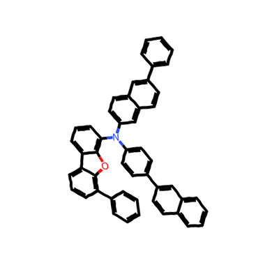 c1ccc(-c2ccc3cc(N(c4ccc(-c5ccc6ccccc6c5)cc4)c4cccc5c4oc4c(-c6ccccc6)cccc45)ccc3c2)cc1